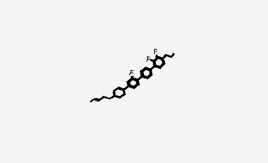 C/C=C/CCC1CC=C(c2ccc(-c3ccc(-c4ccc(CCC)c(F)c4F)cc3)c(F)c2)CC1